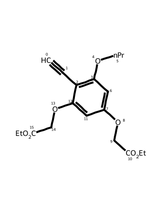 C#Cc1c(OCCC)cc(OCC(=O)OCC)cc1OCC(=O)OCC